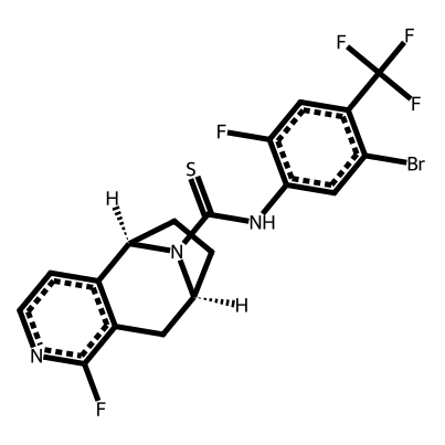 Fc1cc(C(F)(F)F)c(Br)cc1NC(=S)N1[C@H]2CC[C@@H]1c1ccnc(F)c1C2